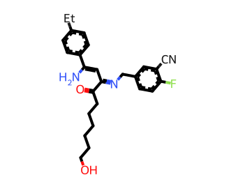 CCc1ccc(/C(N)=C/C(=N\Cc2ccc(F)c(C#N)c2)C(=O)CCCCCCO)cc1